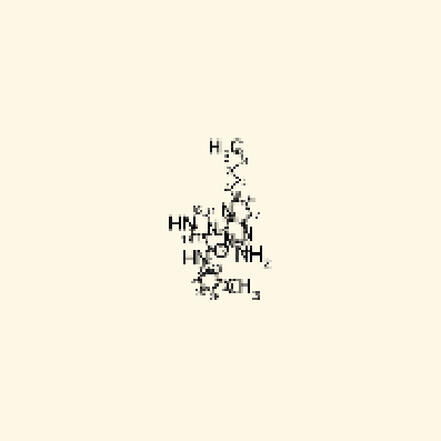 CCCCCc1ccc2nc(N)nc(N3CCNCC3C(=O)Nc3cccc(C)c3)c2n1